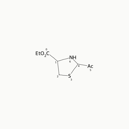 CCOC(=O)C1CSC(C(C)=O)N1